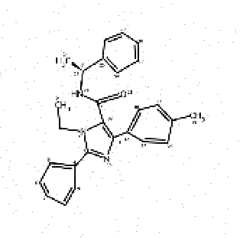 CCn1c(-c2ccccc2)nc(-c2ccc(C)cc2)c1C(=O)N[C@@H](C)c1ccccc1